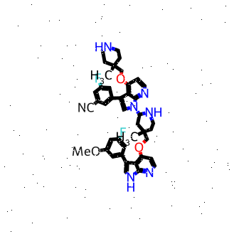 COc1cc(F)cc(-c2c[nH]c3nccc(OCC4(C)CCNC(n5cc(-c6cc(F)cc(C#N)c6)c6c(OCC7(C)CCNCC7)ccnc65)C4)c23)c1